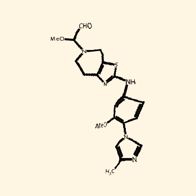 COc1cc(Nc2nc3c(s2)CN(C(C=O)OC)CC3)ccc1-n1cnc(C)c1